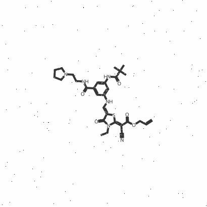 C=CCOC(=O)C(C#N)=c1sc(=CNc2cc(NC(=O)C(C)(C)C)cc(C(=O)NCCN3CCCC3)c2)c(=O)n1CC